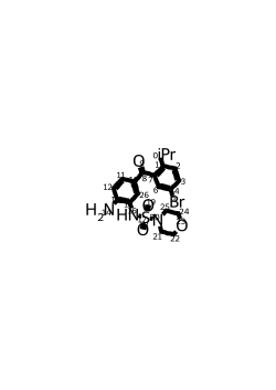 CC(C)c1ccc(Br)cc1C(=O)c1ccc(N)c(NS(=O)(=O)N2CCOCC2)c1